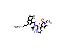 COCCCc1cc(CN(C(=O)C2CNCCC2c2ccn(C)c(=O)c2)C2CC2)c2ccccc2c1